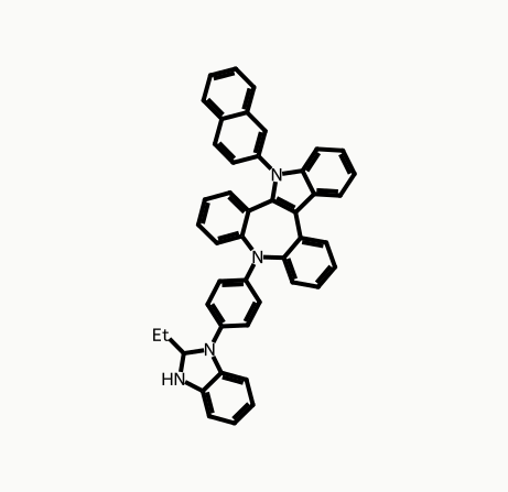 CCC1Nc2ccccc2N1c1ccc(N2c3ccccc3-c3c(n(-c4ccc5ccccc5c4)c4ccccc34)-c3ccccc32)cc1